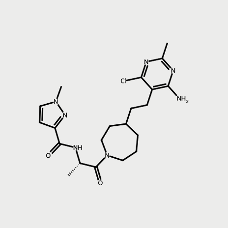 Cc1nc(N)c(CCC2CCCN(C(=O)[C@H](C)NC(=O)c3ccn(C)n3)CC2)c(Cl)n1